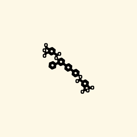 O=C(Oc1ccc(-c2ccc(-c3ccc(OC(=O)c4ccc5c(c4)C(=O)OC5=O)c(-c4ccccc4)c3)cc2)cc1)c1ccc2c(c1)C(=O)OC2=O